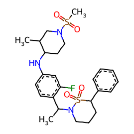 CC1CN(S(C)(=O)=O)CCC1Nc1ccc(C(C)N2CCCC(c3ccccc3)S2(=O)=O)c(F)c1